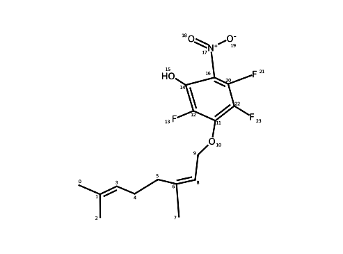 CC(C)=CCCC(C)=CCOc1c(F)c(O)c([N+](=O)[O-])c(F)c1F